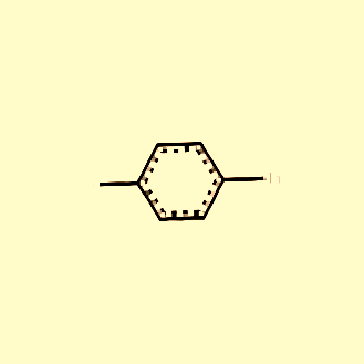 C[CH]c1ccc(C(C)C)cc1